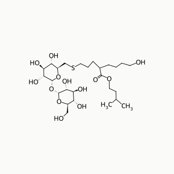 CC(C)CCOC(=O)C(CCCCO)CCCSC[C@H]1O[C@H](O[C@H]2O[C@H](CO)[C@@H](O)[C@H](O)[C@H]2O)[C@H](O)[C@@H](O)[C@@H]1O